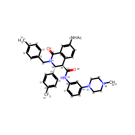 CC(=O)Nc1ccc2c(c1)C(=O)N(Cc1ccc(C)cc1)[C@@H](c1ccc(C(F)(F)F)cc1)[C@@H]2C(=O)Nc1cccc(N2CCN(C)CC2)c1